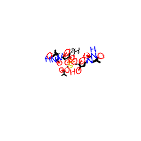 [2H]C[C@H]1O[C@@H](n2cc(C)c(=O)[nH]c2=O)CC1OP(=O)(OC[C@H]1O[C@@H](n2cc(C)c(=O)[nH]c2=O)CC1O)SCOC(=O)C(C)C